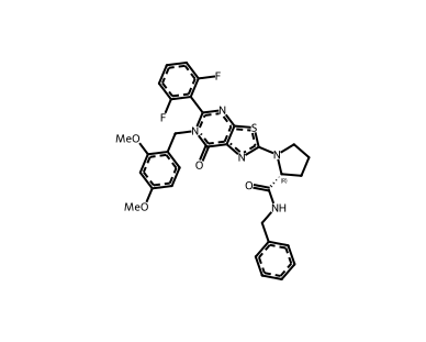 COc1ccc(Cn2c(-c3c(F)cccc3F)nc3sc(N4CCC[C@@H]4C(=O)NCc4ccccc4)nc3c2=O)c(OC)c1